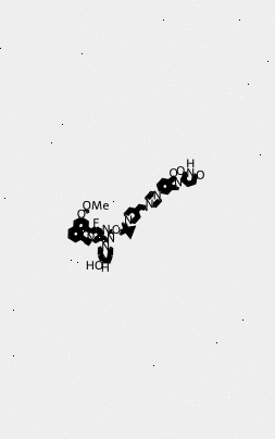 C#Cc1cccc2cc(OCOC)cc(-c3ncc4c(N5CC6CC(O)C(C5)N6)nc(OCC5(CN6CCC(CCN7CCN(c8ccc9c(c8)CN([C@H]8CCC(=O)NC8=O)C9=O)CC7)CC6)CC5)nc4c3F)c12